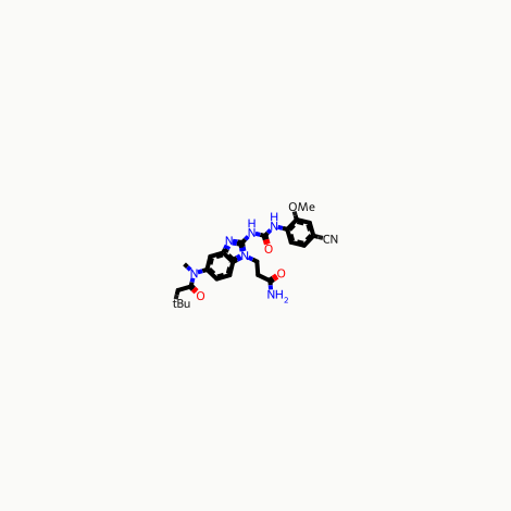 COc1cc(C#N)ccc1NC(=O)Nc1nc2cc(N(C)C(=O)CC(C)(C)C)ccc2n1CCC(N)=O